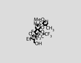 CCn1c(CO)nn(-c2nc(O[C@@H](C)C(F)(F)F)c3c(Oc4c(C)cnc(OC)c4C)nncc3c2F)c1=O